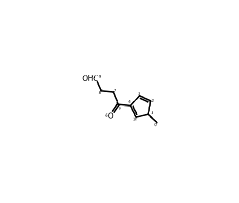 CC1C=CC(C(=O)CCC=O)=C1